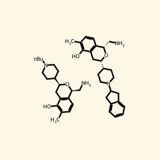 CCCCN1CCC([C@@H]2Cc3c(ccc(C)c3O)[C@H](CN)O2)CC1.Cc1ccc2c(c1O)C[C@@H](C1CCN(C3Cc4ccccc4C3)CC1)O[C@H]2CN